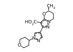 C[C@H]1CCn2nc(-c3cnn(C4CCOCC4)c3)c(C(=O)O)c2O1